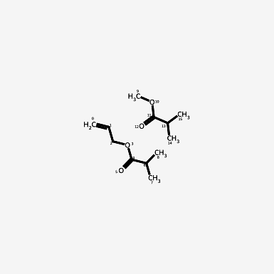 C=CCOC(=O)C(C)C.COC(=O)C(C)C